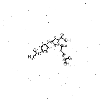 CC(=O)Oc1ccc(S[C@H]2C[C@@H](C(=O)O)N(C(=O)CCSC(C)=O)C2)cc1